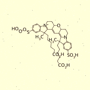 CC1(CCCCCC(=O)O)C2=C3C=C4C5=[N+](CCC4OC3CCN2c2ccc(S(=O)(=O)O)cc21)c1ccc(SOOO)cc1C5(C)CCCCCC(=O)O